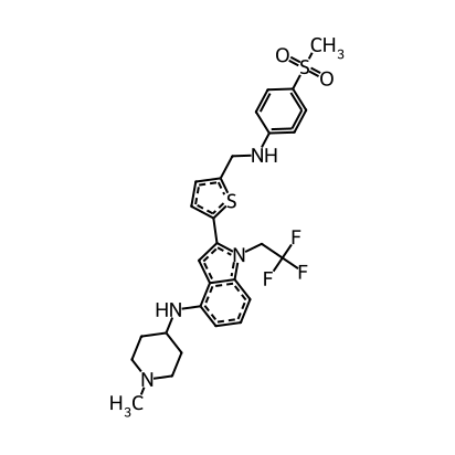 CN1CCC(Nc2cccc3c2cc(-c2ccc(CNC4=C=C=C(S(C)(=O)=O)C=C4)s2)n3CC(F)(F)F)CC1